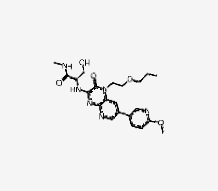 CCCOCCn1c(=O)c(N[C@H](CO)C(=O)NC)nc2ncc(-c3ccc(OC)nc3)cc21